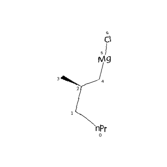 CCCC[C@@H](C)[CH2][Mg][Cl]